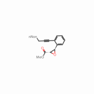 CCCCCCCCCCC#Cc1ccccc1[C@H]1O[C@@H]1C(=O)OC